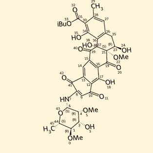 CO[C@@H]1[C@@H](O)[C@@H](OC)[C@@H](NC2=CC(=O)c3c(cc4c(c3O)C(=O)[C@]3(OC)[C@H](O)Cc5cc(C)c(C(=O)OCC(C)C)c(O)c5[C@]3(O)C4=O)C2=O)O[C@H]1C